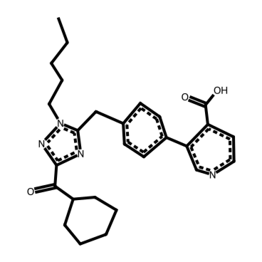 CCCCCn1nc(C(=O)C2CCCCC2)nc1Cc1ccc(-c2cnccc2C(=O)O)cc1